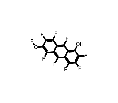 Oc1c(F)c(F)c(F)c2c(F)c3c(F)c(OF)c(F)c(F)c3c(F)c12